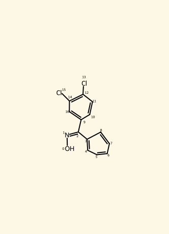 O/N=C(\c1ccccc1)c1ccc(Cl)c(Cl)c1